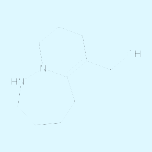 OCC1=C2CCCCNN2CCC1